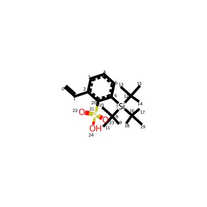 C=Cc1cccc([Si](C(C)(C)C)(C(C)(C)C)C(C)(C)C)c1S(=O)(=O)O